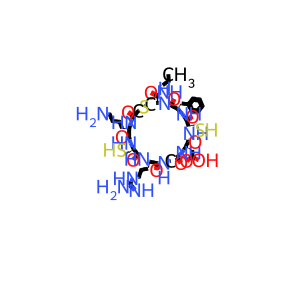 CCCNC(=O)[C@@H]1CSCC(=O)N[C@@H](CCCCN)C(=O)N[C@@H](CS)C(=O)N[C@@H](CCCNC(=N)N)C(=O)NCC(=O)N[C@@H](CC(=O)O)C(=O)N[C@@H](CS)C(=O)N[C@@H](Cc2ccccc2)C(=O)N1